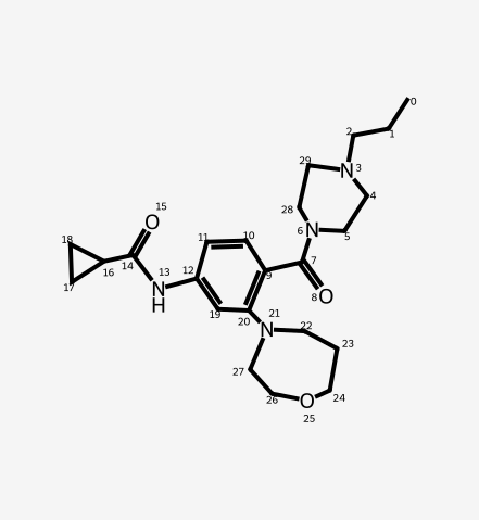 CCCN1CCN(C(=O)c2ccc(NC(=O)C3CC3)cc2N2CCCOCC2)CC1